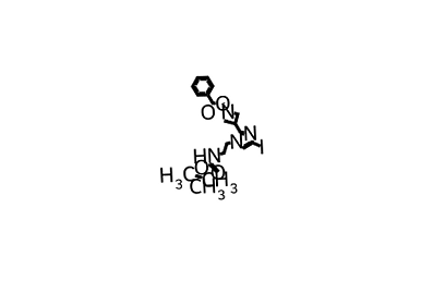 CC(C)(C)OC(=O)NCCn1cc(I)nc1C1CN(OC(=O)c2ccccc2)C1